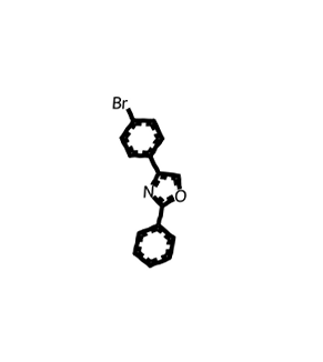 Brc1ccc(-c2coc(-c3ccccc3)n2)cc1